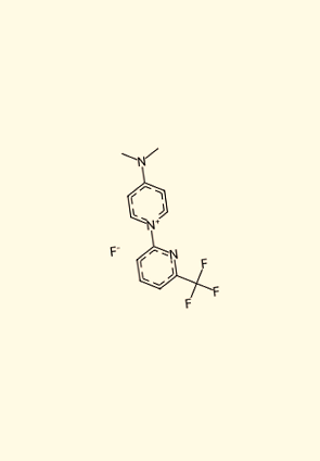 CN(C)c1cc[n+](-c2cccc(C(F)(F)F)n2)cc1.[F-]